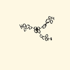 COc1cc(OCCOP(=O)(OCCOc2ccc(O)c(OC)c2)OCCOc2ccc(O)c(OC)c2)ccc1O